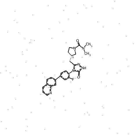 CN(C)C(=O)N1CC[C@@H](Cc2n[nH]c(=O)n2-c2ccc(-c3ccc4cccnc4c3)cc2F)C1